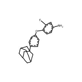 Nc1ccc(Oc2ccc(C34CC5CC(CC(C5)C3)C4)cc2)c(F)c1